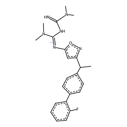 CC(c1ccc(-c2ccccc2F)cc1)c1cc(/N=C(\NC(=N)N(C)C)N(C)C)on1